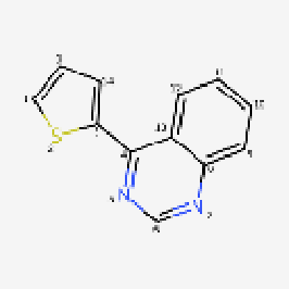 c1csc(-c2ncnc3ccccc23)c1